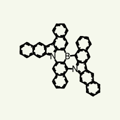 c1ccc2cc3c(cc2c1)c1cc2ccccc2c2c1n3-c1c3c(cc4ccccc14)-n1c4cc5ccccc5cc4c4c5ccccc5cc(c41)B32